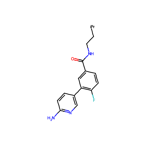 CC(C)CCNC(=O)c1ccc(F)c(-c2ccc(N)nc2)c1